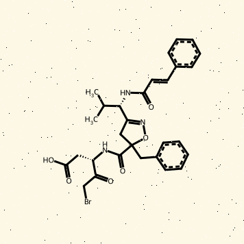 CC(C)[C@H](NC(=O)C=Cc1ccccc1)C1=NOC(Cc2ccccc2)(C(=O)N[C@@H](CC(=O)O)C(=O)CBr)C1